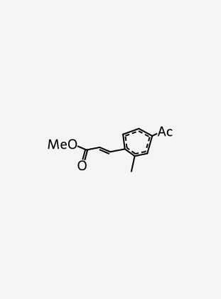 COC(=O)C=Cc1ccc(C(C)=O)cc1C